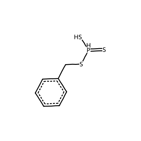 S=[PH](S)SCc1ccccc1